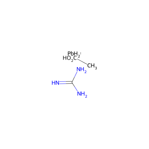 CC(=O)O.N=C(N)N.[PbH2]